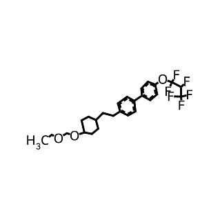 CCOCOC1CCC(CCc2ccc(-c3ccc(OC(F)(F)C(F)C(F)(F)F)cc3)cc2)CC1